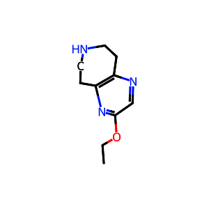 CCOc1cnc2c(n1)CCNCC2